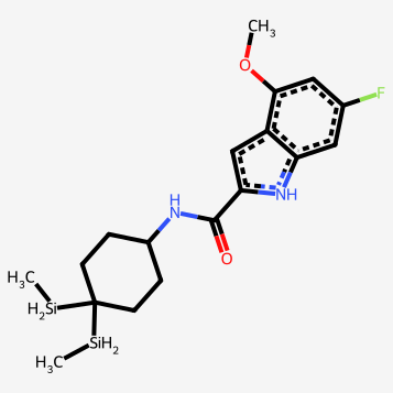 COc1cc(F)cc2[nH]c(C(=O)NC3CCC([SiH2]C)([SiH2]C)CC3)cc12